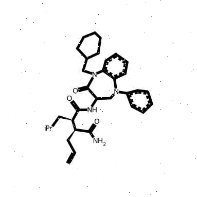 C=CC[C@H](C(N)=O)[C@@H](CC(C)C)C(=O)NC1CN(c2ccccc2)c2ccccc2N(CC2CCCCC2)C1=O